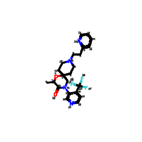 CC1OC2(CCN(CCc3ccccn3)CC2)CN(c2cnccc2C(F)(F)F)C1=O